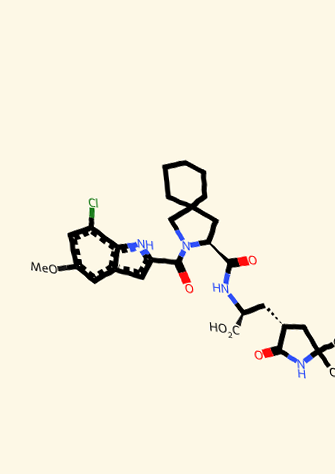 COc1cc(Cl)c2[nH]c(C(=O)N3CC4(CCCCC4)C[C@H]3C(=O)N[C@@H](C[C@@H]3CC(C)(C)NC3=O)C(=O)O)cc2c1